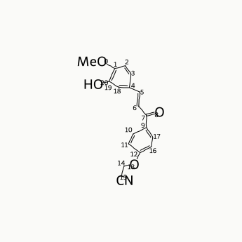 COc1ccc(C=CC(=O)c2ccc(OCC#N)cc2)cc1O